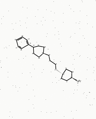 CCC[C@H]1CC[C@H](CCCCC2CCC(c3ccccc3)CC2)CC1